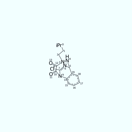 CC(C)CCN1NC2N=C(Cl)N(C(=O)C1=O)c1ccccc12